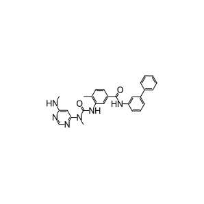 CNc1cc(N(C)C(=O)Nc2cc(C(=O)Nc3cccc(-c4ccccc4)c3)ccc2C)ncn1